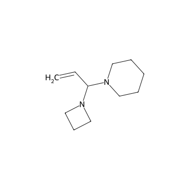 C=CC(N1CCCCC1)N1CCC1